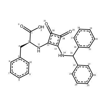 O=C(O)[C@H](Cc1ccccc1)Nc1c(NC(c2ccccc2)c2ccccc2)c(=O)c1=O